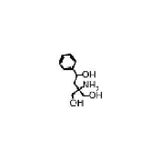 NC(CO)(CO)CC(O)c1ccccc1